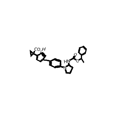 CC(OC(=O)NC1CCCN1c1ccc(-c2ccc(C3(C(=O)O)CC3)cc2)cc1)c1ccccc1